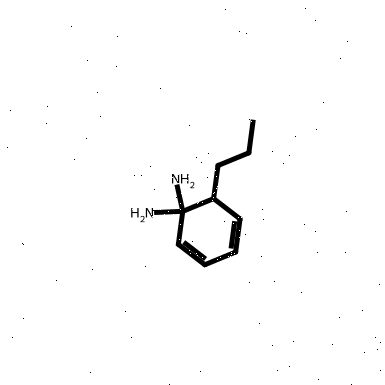 CCCC1C=CC=CC1(N)N